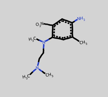 Cc1cc(N(C)CCN(C)C)c([N+](=O)[O-])cc1N